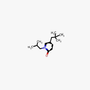 CC(C)Cn1cc(CC(C)(C)C)ccc1=O